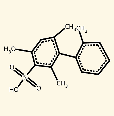 Cc1ccccc1-c1c(C)cc(C)c(S(=O)(=O)O)c1C